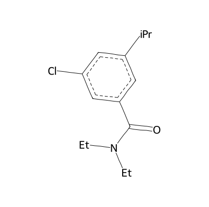 CCN(CC)C(=O)c1cc(Cl)cc(C(C)C)c1